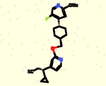 COc1cc([C@H]2CC[C@H](COc3cc([C@@H](CC#N)C4CC4)ccn3)CC2)c(F)cn1